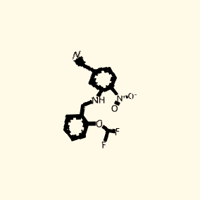 N#Cc1ccc([N+](=O)[O-])c(NCc2ccccc2OC(F)F)c1